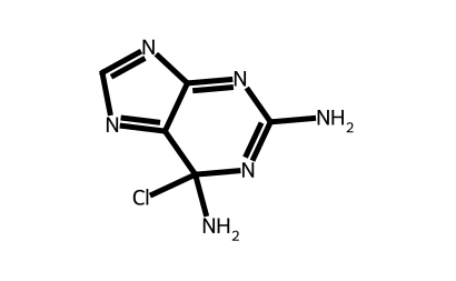 NC1=NC(N)(Cl)C2=NC=NC2=N1